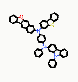 c1ccc(N(c2ccc(N(c3ccc4cc5c(cc4c3)oc3ccccc35)c3ccc4c(c3)sc3ccccc34)cc2)c2ccc3c4ccccc4n(-c4ccccc4)c3c2)cc1